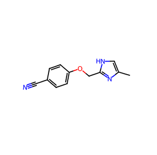 Cc1c[nH]c(COc2ccc(C#N)cc2)n1